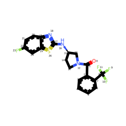 O=C(c1ccccc1C(F)(F)F)N1CC[C@@H](Nc2nc3ccc(F)cc3s2)C1